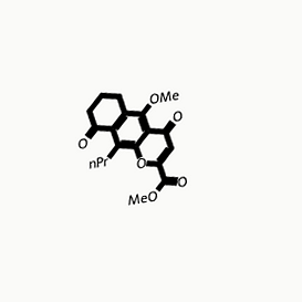 CCCc1c2c(c(OC)c3c(=O)cc(C(=O)OC)oc13)CCCC2=O